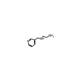 NCCNCc1cccnc1